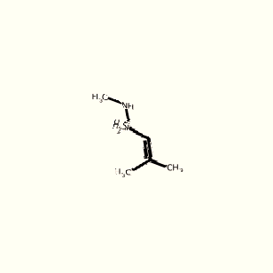 CN[SiH2]C=C(C)C